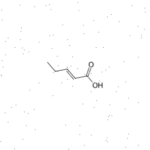 CC/[C]=C/C(=O)O